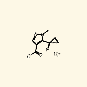 Cn1ncc(C(=O)[O-])c1C1(F)CC1.[K+]